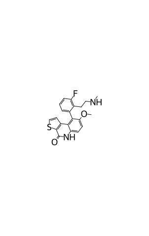 CNCCc1c(F)cccc1-c1c(OC)ccc2[nH]c(=O)c3sccc3c12